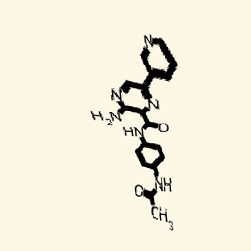 CC(=O)Nc1ccc(NC(=O)c2nc(-c3cccnc3)cnc2N)cc1